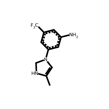 CC1=CN(c2cc(N)cc(C(F)(F)F)c2)CN1